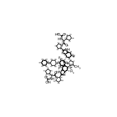 CC1C[C@H](c2cc3nc(C4CCCN4C(=O)C(NC(=O)O)C4CCCC4)[nH]c3cc2F)N(c2cc(F)c(N3CCC(c4ccccc4)CC3)c(F)c2)[C@]1(C)c1cc2nc(C3CCCN3C(=O)[C@@H](NC(=O)O)C3CCCC3)[nH]c2cc1F